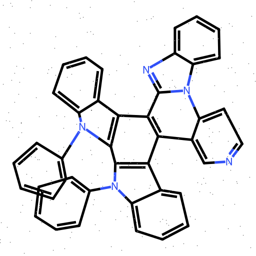 c1ccc(-n2c3ccccc3c3c4c5cnccc5n5c6ccccc6nc5c4c4c5ccccc5n(-c5ccccc5)c4c32)cc1